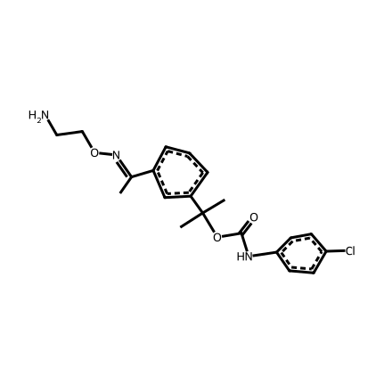 C/C(=N\OCCN)c1cccc(C(C)(C)OC(=O)Nc2ccc(Cl)cc2)c1